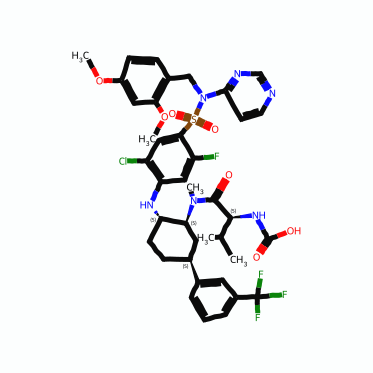 COc1ccc(CN(c2ccncn2)S(=O)(=O)c2cc(Cl)c(N[C@H]3CC[C@H](c4cccc(C(F)(F)F)c4)C[C@@H]3N(C)C(=O)[C@@H](NC(=O)O)C(C)C)cc2F)c(OC)c1